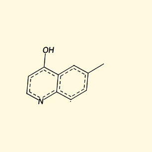 Cc1c[c]c2nccc(O)c2c1